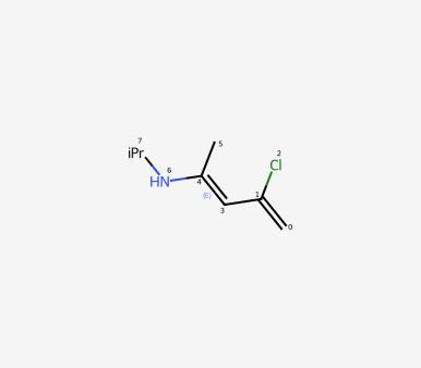 C=C(Cl)/C=C(\C)NC(C)C